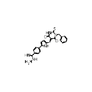 N=C(NN)c1ccc(-c2ccc(/C=C3\C(=O)NC(=S)N(Cc4ccccc4)C3=O)[nH]2)cc1